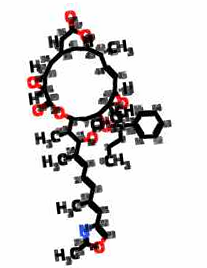 CCC[Si](C)(O[C@H]1C[C@@H]([C@H](C)[C@@H](OC)/C(C)=C/C=C/C(C)=C/c2coc(C)n2)OC(=O)[C@@H]2O[C@H]2C[C@H]2CC(=O)O[C@H](C2)[C@H](C)/C=C/[C@H]2O[C@]12C)c1ccccc1